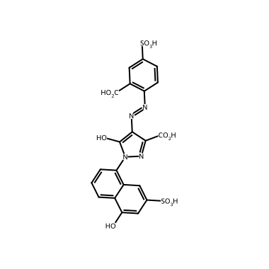 O=C(O)c1cc(S(=O)(=O)O)ccc1/N=N/c1c(C(=O)O)nn(-c2cccc3c(O)cc(S(=O)(=O)O)cc23)c1O